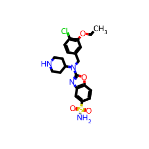 CCOc1cc(CN(c2nc3cc(S(N)(=O)=O)ccc3o2)C2CCNCC2)ccc1Cl